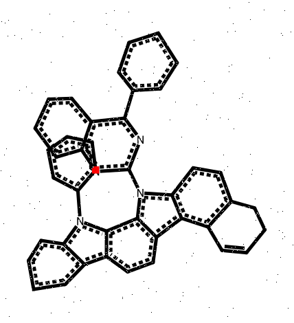 C1=Cc2c(ccc3c2c2ccc4c5ccccc5n(-c5ccccc5)c4c2n3-c2nc(-c3ccccc3)c3ccccc3n2)CC1